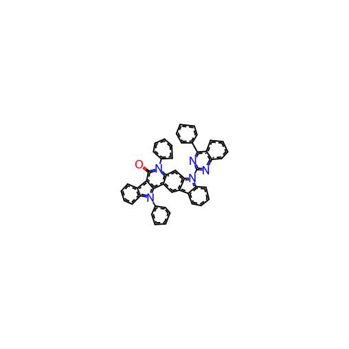 O=c1c2c3ccccc3n(-c3ccccc3)c2c2cc3c4ccccc4n(-c4nc(-c5ccccc5)c5ccccc5n4)c3cc2n1-c1ccccc1